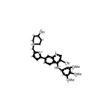 COc1cc(Nc2c(C#N)cnc3cc(-c4ccc(CN5CCC(O)CC5)s4)ccc23)cc(OC)c1OC